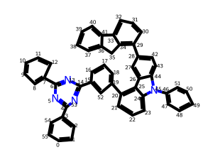 c1ccc(-c2nc(-c3ccccc3)nc(-c3cccc(-c4cccc5c4c4cc(-c6cccc7c6Cc6ccccc6-7)ccc4n5-c4ccccc4)c3)n2)cc1